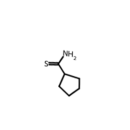 NC(=S)C1CCCC1